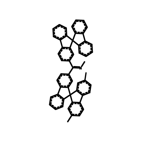 CN=C(c1ccc2c(c1)C1(c3ccccc3-c3ccccc31)c1ccccc1-2)c1ccc2c(c1)C1(c3ccccc3-2)c2cc(C)ccc2-c2ccc(C)cc21